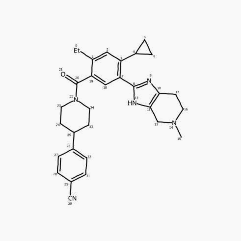 CCc1cc(C2CC2)c(-c2nc3c([nH]2)CN(C)CC3)cc1C(=O)N1CCC(c2ccc(C#N)cc2)CC1